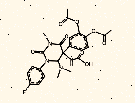 CC(=O)Oc1ccc(C2(NC(=O)O)C(=O)N(C)C(=O)N(c3ccc(F)cc3)C2N(C)C)cc1OC(C)=O